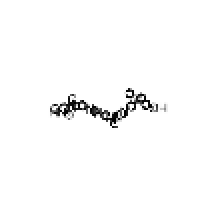 O=C1CCC(N2Cc3cc(N4CCN(C5CCN(C(=O)N6CCN(c7ccc([C@@H]8c9ccc(O)cc9CC[C@@H]8c8ccccc8)cc7)CC6)CC5)CC4)ccc3C2=O)C(=O)N1